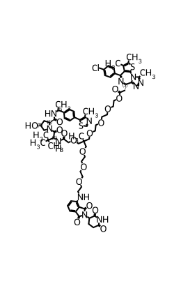 Cc1ncsc1-c1ccc([C@H](C)NC(=O)[C@@H]2C[C@@H](O)CN2C(=O)[C@@H](NC(=O)COCC(C)(COCCOCCOCCNc2cccc3c2C(=O)N(C2CCC(=O)NC2=O)C3=O)COCCOCCOCCOC(=O)C[C@@H]2N=C(c3ccc(Cl)cc3)c3c(sc(C)c3C)-n3c(C)nnc32)C(C)(C)C)cc1